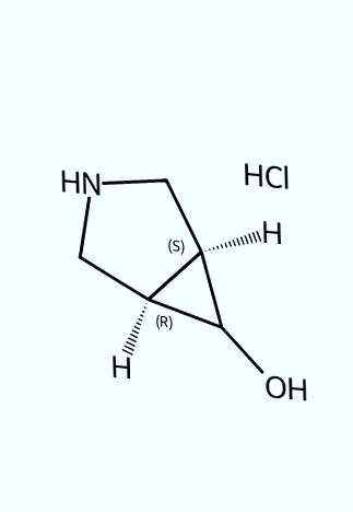 Cl.OC1[C@H]2CNC[C@@H]12